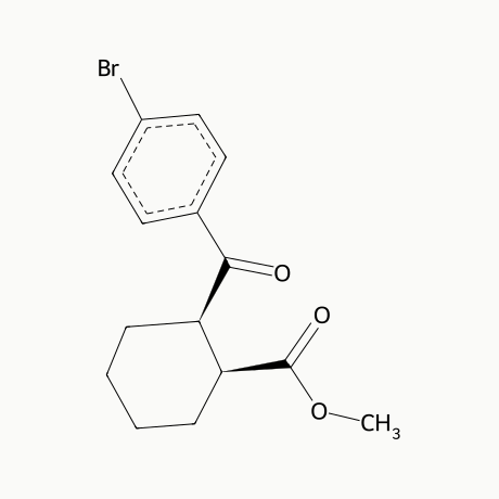 COC(=O)[C@H]1CCCC[C@H]1C(=O)c1ccc(Br)cc1